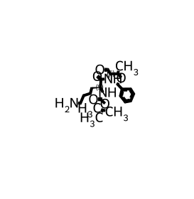 CC(OCc1ccccc1)[C@@H]([C]=O)NC(=O)[C@H](CCCCN)NC(=O)OC(C)(C)C